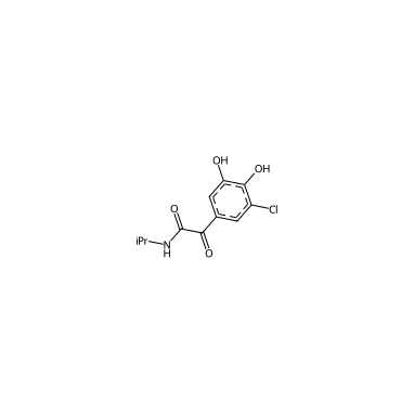 CC(C)NC(=O)C(=O)c1cc(O)c(O)c(Cl)c1